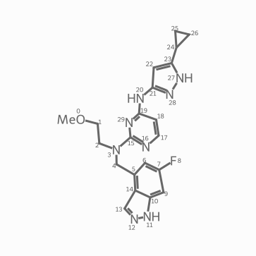 COCCN(Cc1cc(F)cc2[nH]ncc12)c1nccc(Nc2cc(C3CC3)[nH]n2)n1